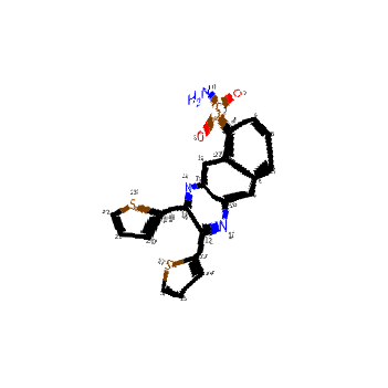 NS(=O)(=O)c1cccc2cc3nc(-c4cccs4)c(-c4cccs4)nc3cc12